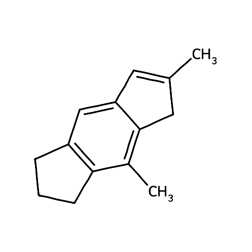 CC1=Cc2cc3c(c(C)c2C1)CCC3